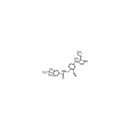 C=C/N=C1/NC=C/C1=C(/C)c1ccc(CNC(=O)c2ccc(C(C)(C)C)cc2)c(C#N)c1